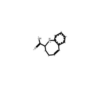 O=C(O)C1CCC=Cc2ccccc2N1